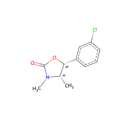 C[C@H]1[C@@H](c2cccc(Cl)c2)OC(=O)N1C